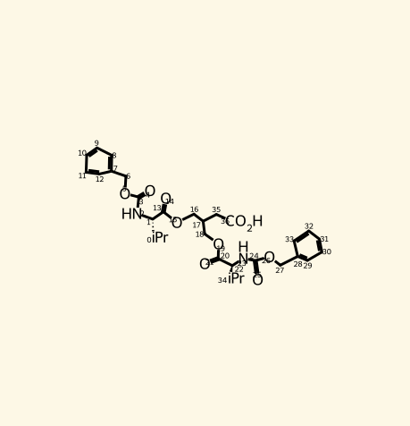 CC(C)[C@H](NC(=O)OCc1ccccc1)C(=O)OCC(COC(=O)[C@@H](NC(=O)OCc1ccccc1)C(C)C)CC(=O)O